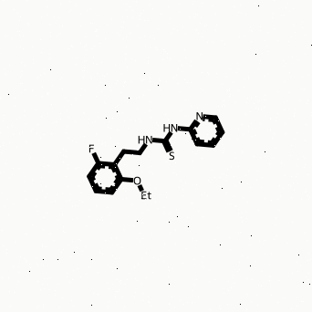 CCOc1cccc(F)c1CCNC(=S)Nc1ccccn1